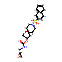 O=C(NC[C@H]1CO1)OC1COC2(CCN(S(=O)(=O)c3ccc4ccccc4c3)CC2)C1